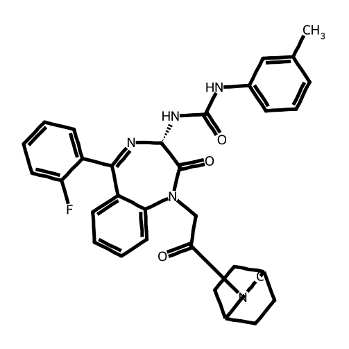 Cc1cccc(NC(=O)N[C@H]2N=C(c3ccccc3F)c3ccccc3N(CC(=O)N3CC4CCC(CC4)C3)C2=O)c1